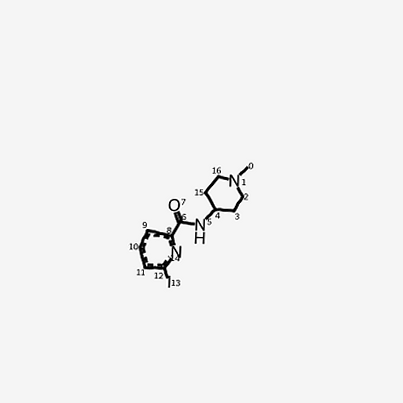 CN1CCC(NC(=O)c2cccc(I)n2)CC1